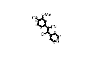 COc1cc(/C(C#N)=C(\Cl)c2ccncc2)ccc1Cl